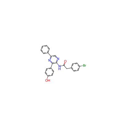 O=C(Cc1ccc(Br)cc1)Nc1ncc(-c2ccccc2)nc1-c1ccc(O)cc1